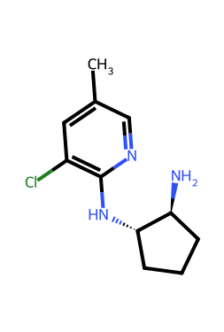 Cc1cnc(N[C@H]2CCC[C@@H]2N)c(Cl)c1